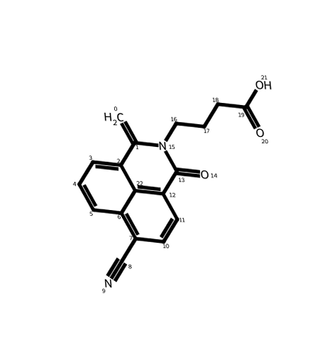 C=c1c2cccc3c(C#N)ccc(c(=O)n1CCCC(=O)O)c32